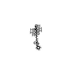 O=C(CCCCCNC(=O)C(O)C(O)C(O)C(O)CO)OCc1ccccc1